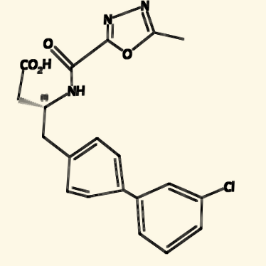 Cc1nnc(C(=O)N[C@@H](CC(=O)O)Cc2ccc(-c3cccc(Cl)c3)cc2)o1